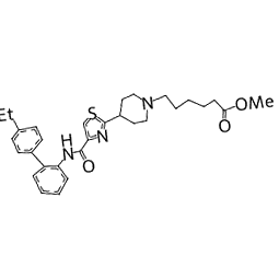 CCc1ccc(-c2ccccc2NC(=O)c2csc(C3CCN(CCCCCC(=O)OC)CC3)n2)cc1